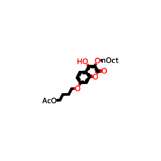 CCCCCCCCOc1c(O)c2ccc(OCCCCOC(C)=O)cc2oc1=O